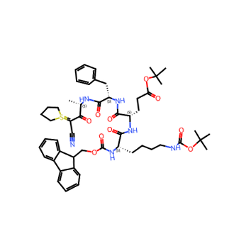 C[C@H](NC(=O)[C@H](Cc1ccccc1)NC(=O)[C@H](CCC(=O)OC(C)(C)C)NC(=O)[C@H](CCCCNC(=O)OC(C)(C)C)NC(=O)OCC1c2ccccc2-c2ccccc21)C(=O)C(C#N)=S1CCCC1